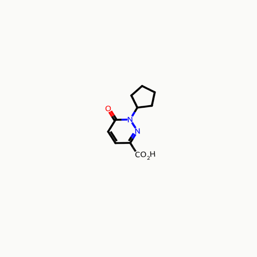 O=C(O)c1ccc(=O)n(C2CCCC2)n1